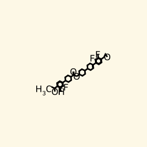 CCC(O)c1ccc(C2CCC(C(=O)OC3CCC(C4CC=C(c5ccc(C6CO6)c(F)c5F)CC4)CC3)CC2)c(F)c1F